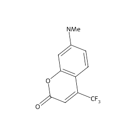 CNc1ccc2c(C(F)(F)F)cc(=O)oc2c1